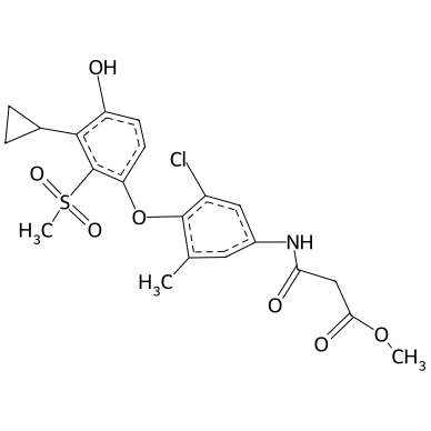 COC(=O)CC(=O)Nc1cc(C)c(Oc2ccc(O)c(C3CC3)c2S(C)(=O)=O)c(Cl)c1